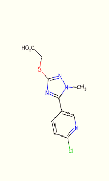 Cn1nc(OCC(=O)O)nc1-c1ccc(Cl)nc1